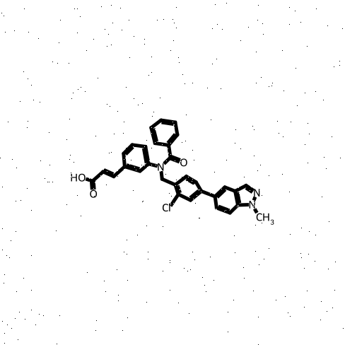 Cn1ncc2cc(-c3ccc(CN(C(=O)c4ccccc4)c4cccc(C=CC(=O)O)c4)c(Cl)c3)ccc21